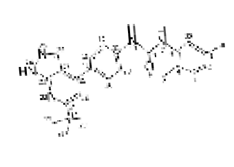 Cc1ccc(C)c(NC(=O)Nc2ccc(-c3cc(C(C)(C)C)nc4[nH]ncc34)cc2)c1